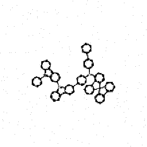 c1ccc(-c2ccc(N(c3ccc(-c4ccc5c6ccccc6n(-c6ccc7c8ccccc8n(-c8ccccc8)c7c6)c5c4)cc3)c3cccc4c3-c3ccccc3C43c4ccccc4-c4ccccc43)cc2)cc1